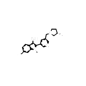 Cn1c(-c2cncc(CN3CC[C@@H](N)C3)c2)c(N)c2ccc(Cl)cc21